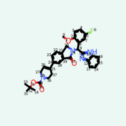 COc1ccc(F)cc1C(c1nc2ccccc2[nH]1)N1Cc2ccc(C3=CCN(C(=O)OC(C)(C)C)CC3)cc2C1=O